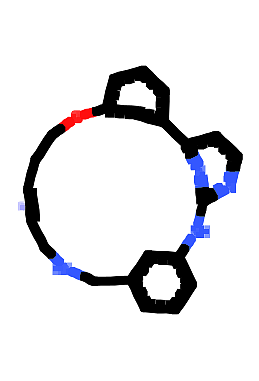 C1=C\CNCc2cccc(c2)Nc2nccc(n2)-c2cccc(c2)OCC/1